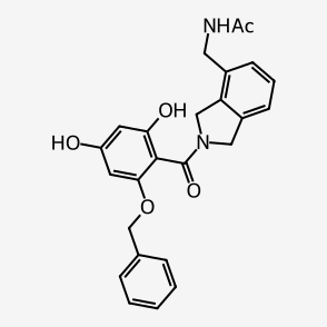 CC(=O)NCc1cccc2c1CN(C(=O)c1c(O)cc(O)cc1OCc1ccccc1)C2